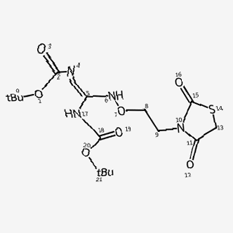 CC(C)(C)OC(=O)N=C(NOCCN1C(=O)CSC1=O)NC(=O)OC(C)(C)C